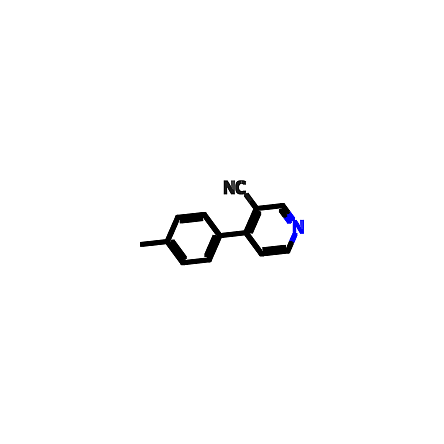 Cc1ccc(-c2ccncc2C#N)cc1